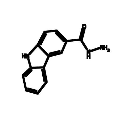 NNC(=O)c1ccc2[nH]c3ccccc3c2c1